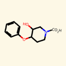 O=C(O)N1CCC(Oc2ccccc2)C(O)C1